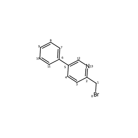 BrCc1ccc(-c2ccccc2)cn1